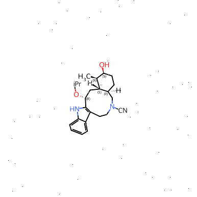 CC(C)O[C@@H]1C[C@H]2[C@@H](CC[C@H](O)[C@@H]2C)CN(C#N)CCc2c1[nH]c1ccccc21